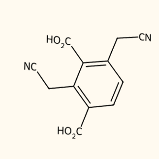 N#CCc1ccc(C(=O)O)c(CC#N)c1C(=O)O